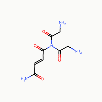 NCC(=O)N(C(=O)/C=C/C(N)=O)C(=O)CN